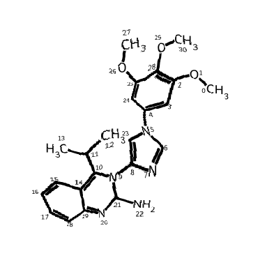 COc1cc(-n2cnc(N3C(C(C)C)=c4ccccc4=NC3N)c2)cc(OC)c1OC